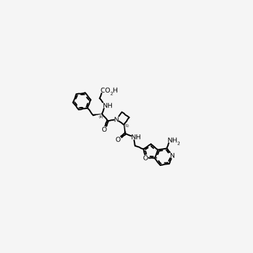 Nc1nccc2oc(CNC(=O)[C@@H]3CCN3C(=O)[C@@H](Cc3ccccc3)NCC(=O)O)cc12